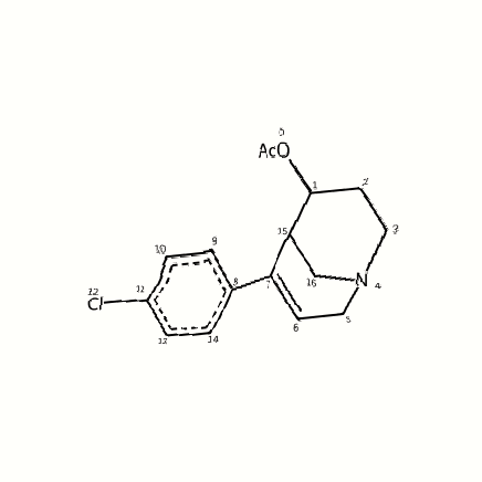 CC(=O)OC1CCN2CC=C(c3ccc(Cl)cc3)C1C2